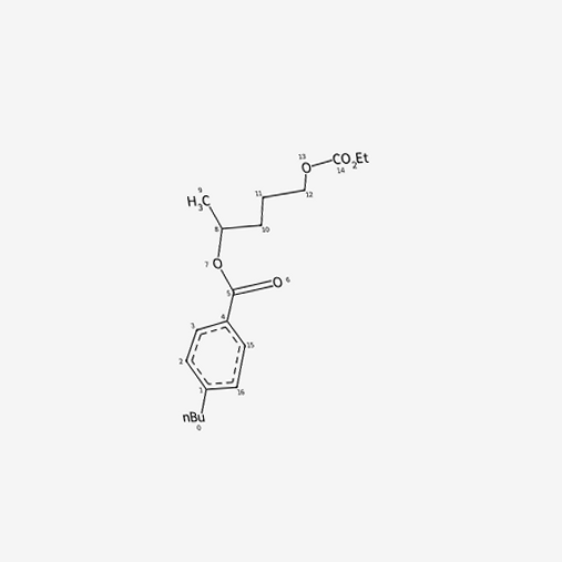 CCCCc1ccc(C(=O)OC(C)CCCOC(=O)OCC)cc1